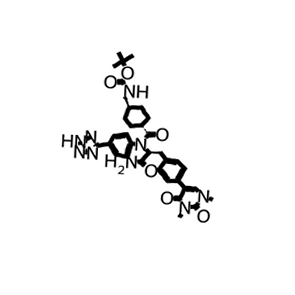 Cn1cc(-c2ccc(C[C@@H](C(N)=O)N(c3ccc(-c4nn[nH]n4)cc3)C(=O)[C@H]3CC[C@H](CNC(=O)OC(C)(C)C)CC3)cc2)c(=O)n(C)c1=O